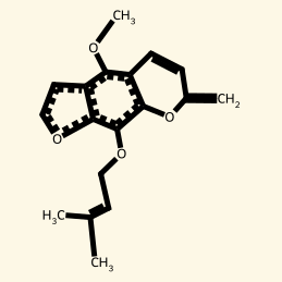 C=C1C=Cc2c(c(OCC=C(C)C)c3occc3c2OC)O1